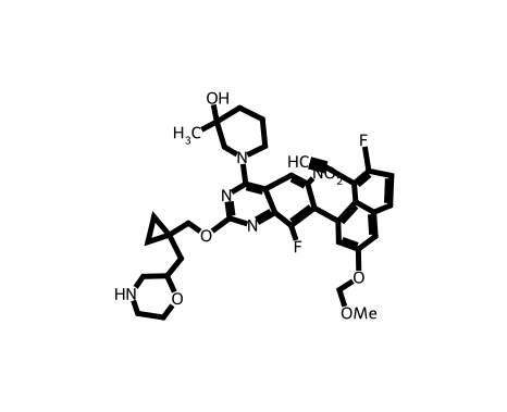 C#Cc1c(F)ccc2cc(OCOC)cc(-c3c([N+](=O)[O-])cc4c(N5CCCC(C)(O)C5)nc(OCC5(CC6CNCCO6)CC5)nc4c3F)c12